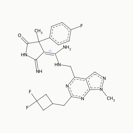 Cn1ncc2c(CN/C(N)=C3\C(=N)NC(=O)C3(C)c3ccc(F)cc3)nc(CC3CC(F)(F)C3)nc21